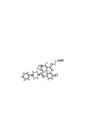 CC1=C(C(=O)OCCC#N)C(c2cccc(Cl)c2)C(C(=O)N2CCN(c3ccccc3)CC2)=C(C)N1